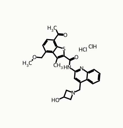 COCc1ccc(C(C)=O)c2sc(C(=O)Nc3cc(CN4CC(O)C4)c4ccccc4n3)c(C)c12.Cl.Cl